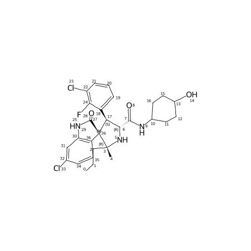 CCC[C@@]1(C)N[C@@H](C(=O)NC2CCC(O)CC2)[C@H](c2cccc(Cl)c2F)[C@]12C(=O)Nc1cc(Cl)ccc12